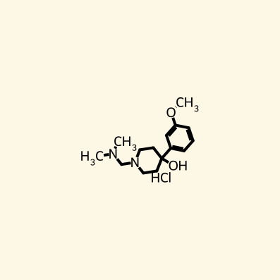 COc1cccc(C2(O)CCN(CN(C)C)CC2)c1.Cl